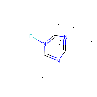 F[n+]1cncnc1